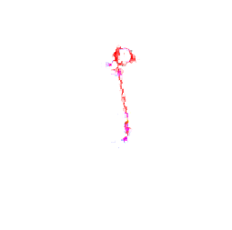 C=C(c1ccc(SCCNC(=O)CCOCCOCCOCCOCCOCCOCCOCCOCCNC(=O)CCC(CCCO)CCC2CCC(C)/C=C(\C)C(O)[C@@H](OC)C(=O)C(C)C[C@H](C)/C=C/C=C/C=C(\C)C(OCC)C[C@@H]3CC[C@@H](C)[C@@](O)(O3)C(=O)[C@@H](CCCCNC=O)CCO2)cc1C)N1CCOC(=C/C=C/c2ccc(N)nc2)/C(=C\C)C1